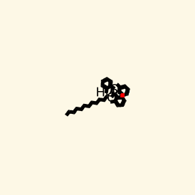 CCCCCCCCCCCCOP(O)(Oc1ccccc1C)(c1ccccc1C)c1ccccc1C